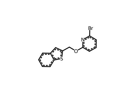 Brc1cccc(OCc2cc3ccccc3s2)n1